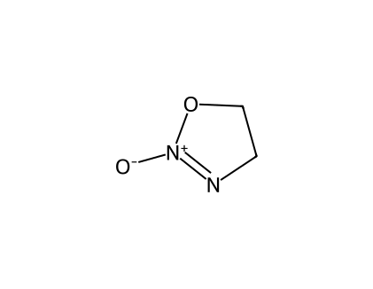 [O-][N+]1=NCCO1